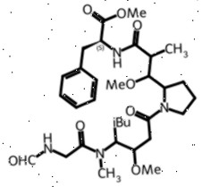 CCC(C)C(C(CC(=O)N1CCCC1C(OC)C(C)C(=O)N[C@@H](Cc1ccccc1)C(=O)OC)OC)N(C)C(=O)CNC=O